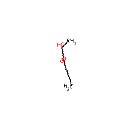 CCCCCCCCCCCCCCCCCCCCCCC(=O)OCCCCCCCC/C=C\C[C@H](O)CCCCCC